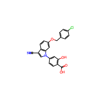 N#Cc1cn(-c2ccc(C(=O)O)c(O)c2)c2cc(OCc3ccc(Cl)cc3)ccc12